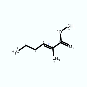 CCC/C=C(\C)C(=O)O[SiH3]